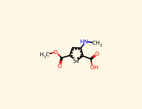 CNc1cc(C(=O)OC)[se]c1C(=O)O